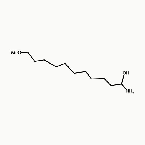 COCCCCCCCCCCC(N)O